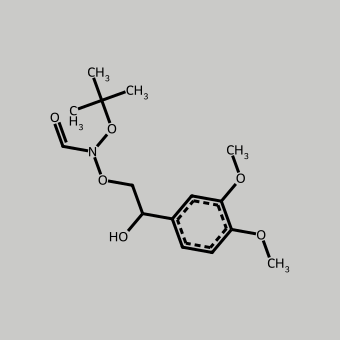 COc1ccc(C(O)CON(C=O)OC(C)(C)C)cc1OC